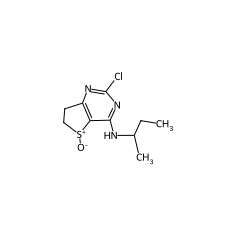 CCC(C)Nc1nc(Cl)nc2c1[S+]([O-])CC2